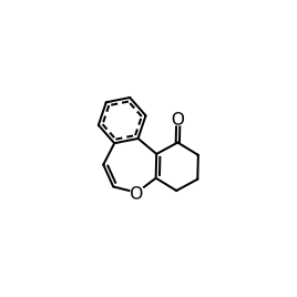 O=C1CCCC2=C1c1ccccc1C=CO2